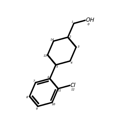 OCC1CCC(c2cc[c]cc2Cl)CC1